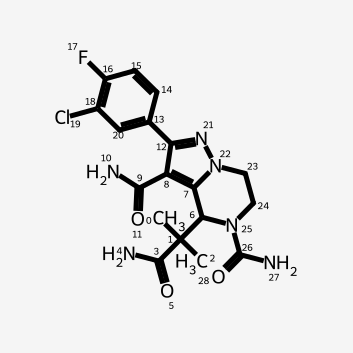 CC(C)(C(N)=O)C1c2c(C(N)=O)c(-c3ccc(F)c(Cl)c3)nn2CCN1C(N)=O